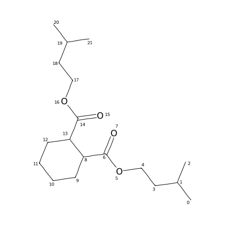 CC(C)CCOC(=O)C1CCCCC1C(=O)OCCC(C)C